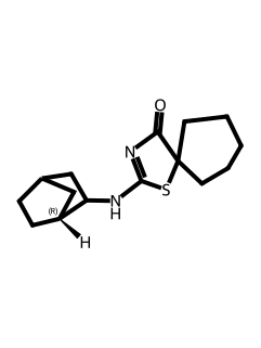 O=C1N=C(NC2CC3CC[C@@H]2C3)SC12CCCCC2